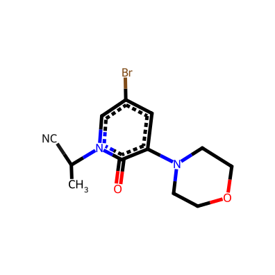 CC(C#N)n1cc(Br)cc(N2CCOCC2)c1=O